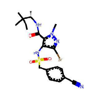 C[C@H](NC(=O)c1c(NS(=O)(=O)Cc2ccc(C#N)cc2)c(Br)nn1C)C(C)(C)C